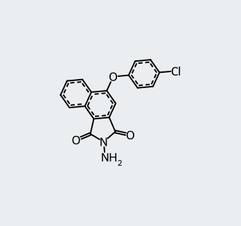 NN1C(=O)c2cc(Oc3ccc(Cl)cc3)c3ccccc3c2C1=O